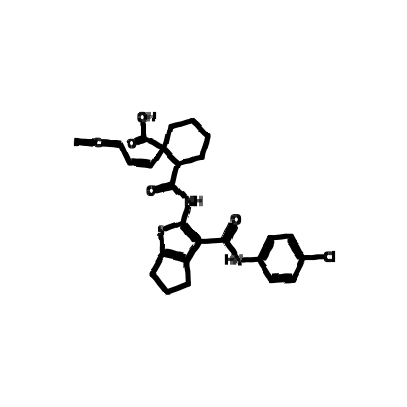 C=C=C/C=C\C1(C(=O)O)CCCCC1C(=O)Nc1sc2c(c1C(=O)Nc1ccc(Cl)cc1)CCC2